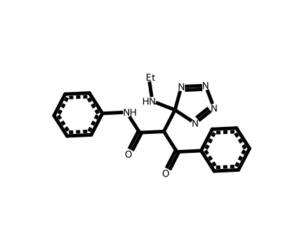 CCNC1(C(C(=O)Nc2ccccc2)C(=O)c2ccccc2)N=NN=N1